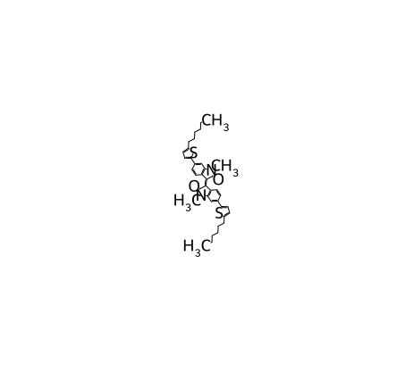 CCCCCCc1ccc(-c2ccc3c(c2)N(C)C(=O)/C3=C2/C(=O)N(C)c3cc(-c4ccc(CCCCCC)s4)ccc32)s1